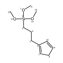 CO[Si](CCCC1=CCC=C1)(OC)OC